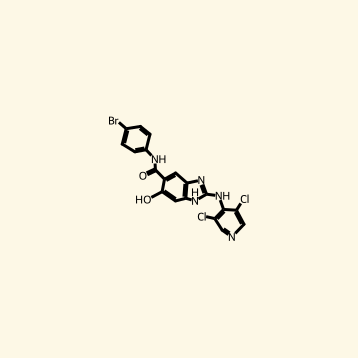 O=C(Nc1ccc(Br)cc1)c1cc2nc(Nc3c(Cl)cncc3Cl)[nH]c2cc1O